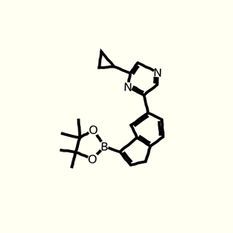 CC1(C)OB(C2=CCc3ccc(-c4cncc(C5CC5)n4)cc32)OC1(C)C